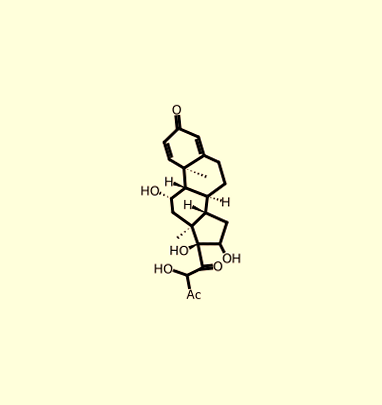 CC(=O)C(O)C(=O)[C@@]1(O)C(O)C[C@H]2[C@@H]3CCC4=CC(=O)C=C[C@]4(C)[C@H]3[C@@H](O)C[C@@]21C